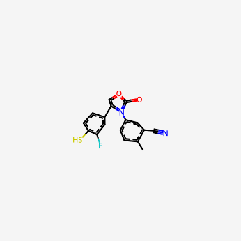 Cc1ccc(-n2c(-c3ccc(S)c(F)c3)coc2=O)cc1C#N